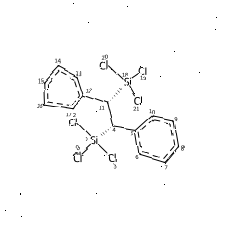 Cl[Si](Cl)(Cl)[C@@H](c1ccccc1)[C@H](c1ccccc1)[Si](Cl)(Cl)Cl